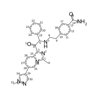 Cc1nc(C(=O)C(NCCc2ccc(C(N)=O)cc2)c2ccccc2)c2ccc(-c3cnn(C)c3)cn12